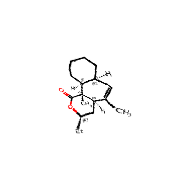 CC[C@@H]1C[C@@H]2C(C)=C[C@@H]3CCCC[C@@H]3[C@@]2(C)C(=O)O1